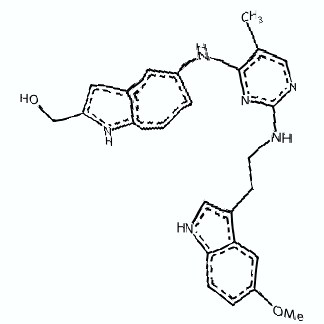 COc1ccc2[nH]cc(CCNc3ncc(C)c(Nc4ccc5[nH]c(CO)cc5c4)n3)c2c1